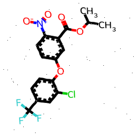 CC(C)OC(=O)c1cc(Oc2ccc(C(F)(F)F)cc2Cl)ccc1[N+](=O)[O-]